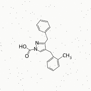 Cc1ccccc1Cc1cn(C(=O)O)nc1Cc1ccccc1